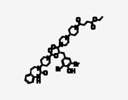 CCOC(=O)CCC(=O)N1CCC(N2CCN(C(=O)[C@@H](Cc3cc(Br)c(O)c(Br)c3)OC(=O)N3CCC(N4CCc5ccccc5NC4=O)CC3)CC2)CC1